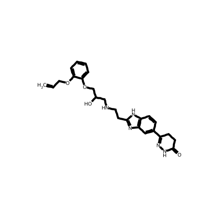 C=CCOc1ccccc1OCC(O)CNCCc1nc2cc(C3=NNC(=O)CC3)ccc2[nH]1